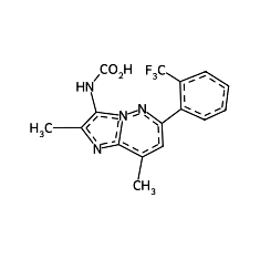 Cc1nc2c(C)cc(-c3ccccc3C(F)(F)F)nn2c1NC(=O)O